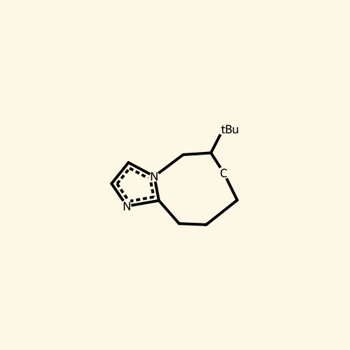 CC(C)(C)C1CCCCc2nccn2C1